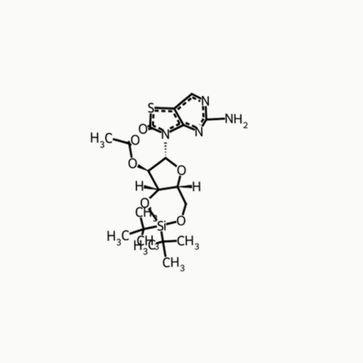 CC(=O)O[C@@H]1[C@H]2O[Si](C(C)(C)C)(C(C)(C)C)OC[C@H]2O[C@H]1n1c(=O)sc2cnc(N)nc21